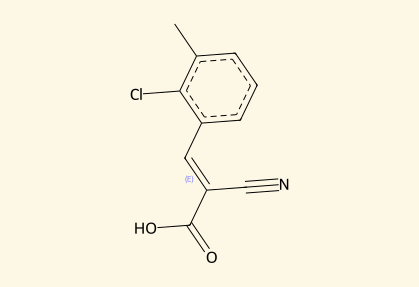 Cc1cccc(/C=C(\C#N)C(=O)O)c1Cl